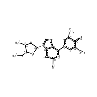 CC[C@@H]1O[C@@H](n2cnc3c(-n4cc(C)c(=O)c(C)c4)nc(Cl)nc32)C[C@@H]1C